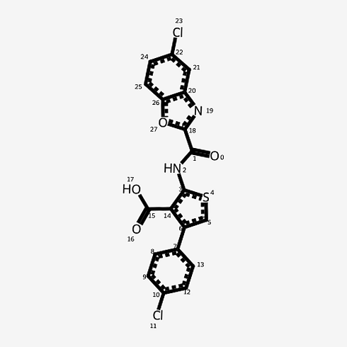 O=C(Nc1scc(-c2ccc(Cl)cc2)c1C(=O)O)c1nc2cc(Cl)ccc2o1